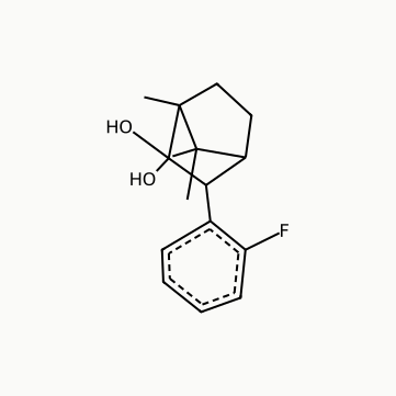 CC1(C)C2CCC1(C)C(O)(O)C2c1ccccc1F